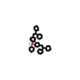 O=P(c1ccccc1)(c1ccc(C=C(c2ccccc2)c2ccccc2)cc1)c1ccc(C=C(c2ccccc2)c2ccccc2)cc1